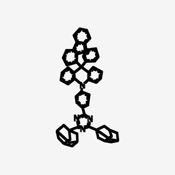 c1ccc(C2(c3cccc4c3oc3ccccc34)c3ccccc3N(c3ccc(-c4nc(C56CC7CC(CC(C7)C5)C6)nc(C56CC7CC(CC(C7)C5)C6)n4)cc3)c3ccccc32)cc1